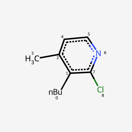 CCCCc1c(C)ccnc1Cl